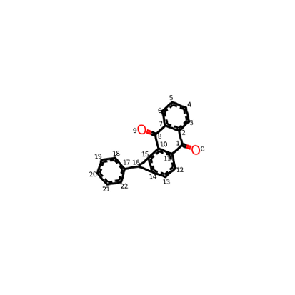 O=C1c2ccccc2C(=O)c2c1ccc1c2C1c1ccccc1